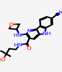 CC(C)(O)CCNC(=O)c1cc2[nH]c3cc(C#N)ccc3c2nc1NC1COC1